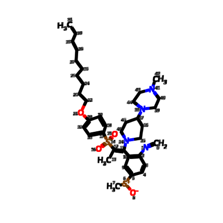 C=Nc1ccc([S+](C)[O-])cc1/C(=C(\C)S(=O)(=O)c1ccc(OCCCCCCCCCC)cc1)N1CCC(N2CCN(C)CC2)CC1